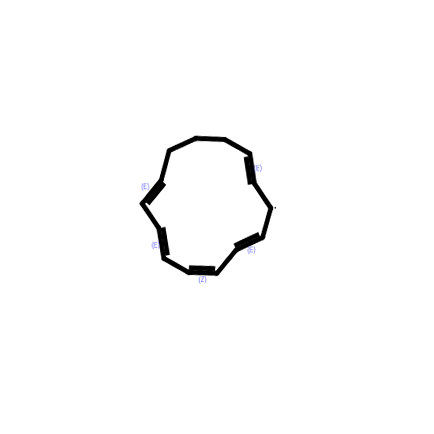 [CH]1/C=C/C=C\C=C\C=C\CCC/C=C/1